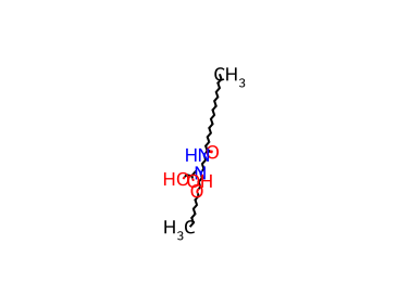 CCCCCCCCCCCCCCCCCC(=O)NCCCN(CCCOCCCCCCCC)CC(O)CO